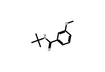 COc1cccc(C(=O)NC(C)(C)C)c1